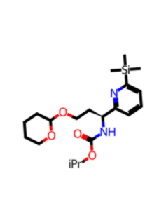 CC(C)OC(=O)N[C@@H](CCOC1CCCCO1)c1cccc([Si](C)(C)C)n1